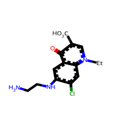 CCn1cc(C(=O)O)c(=O)c2cc(NCCN)c(Cl)cc21